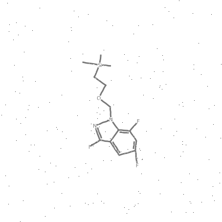 C[Si](C)(C)CCOCn1nc(I)c2cc(F)cc(F)c21